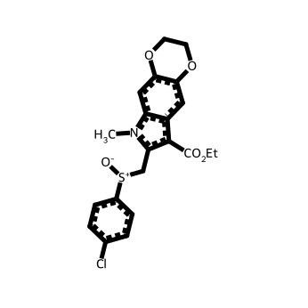 CCOC(=O)c1c(C[S+]([O-])c2ccc(Cl)cc2)n(C)c2cc3c(cc12)OCCO3